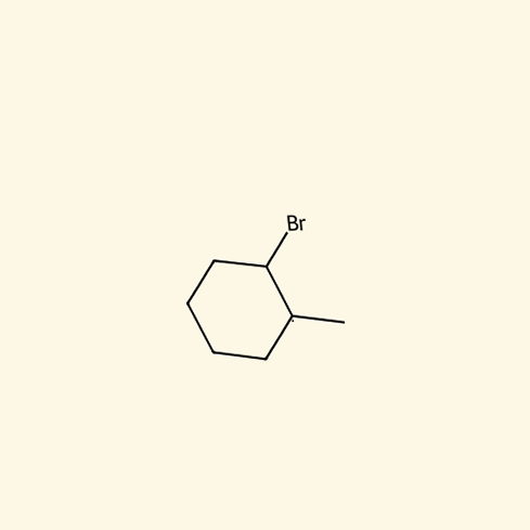 C[C]1CCCCC1Br